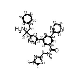 Cc1csc(CN(C)C(=O)c2cc(-c3cnccn3)cc(-c3nnc([C@](C)(N)Cc4ccccc4)o3)c2)n1